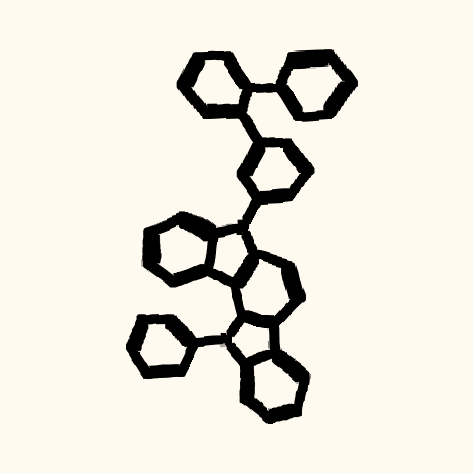 c1ccc(-c2ccccc2-c2cccc(-n3c4ccccc4c4c3ccc3c5ccccc5n(-c5ccccc5)c34)c2)cc1